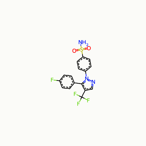 NS(=O)(=O)c1ccc(-n2ncc(C(F)(F)F)c2-c2ccc(F)cc2)cc1